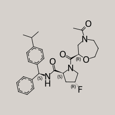 CC(=O)N1CCCO[C@@H](C(=O)N2C[C@H](F)C[C@H]2C(=O)N[C@@H](c2ccccc2)c2ccc(C(C)C)cc2)C1